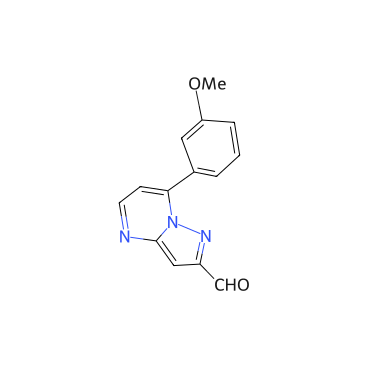 COc1cccc(-c2ccnc3cc(C=O)nn23)c1